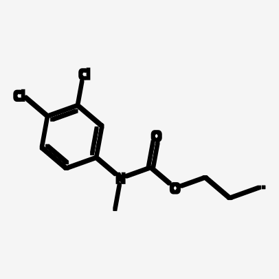 [CH2]CCOC(=O)N(C)c1ccc(Cl)c(Cl)c1